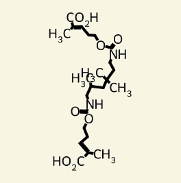 CC(=CCCOC(=O)NCCC(C)(C)CC(C)CNC(=O)OCCC=C(C)C(=O)O)C(=O)O